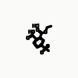 CCOC(=O)c1cc(S(C)(=O)=O)ccc1C(=O)O.Cl